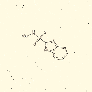 CCCCNS(=O)(=O)c1nc2ccccc2s1